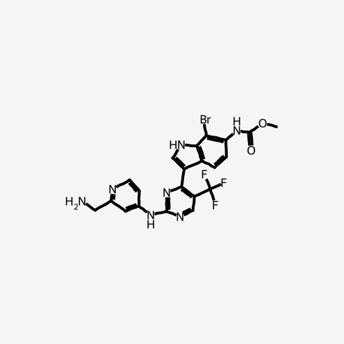 COC(=O)Nc1ccc2c(-c3nc(Nc4ccnc(CN)c4)ncc3C(F)(F)F)c[nH]c2c1Br